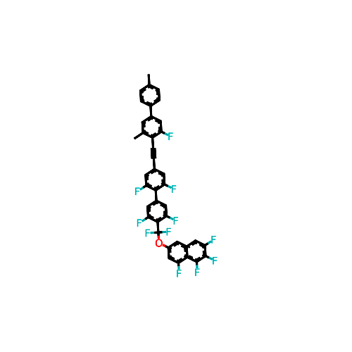 Cc1ccc(-c2cc(C)c(C#Cc3cc(F)c(-c4cc(F)c(C(F)(F)Oc5cc(F)c6c(F)c(F)c(F)cc6c5)c(F)c4)c(F)c3)c(F)c2)cc1